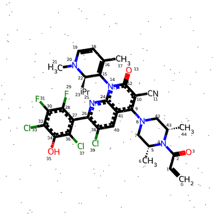 C=CC(=O)N1[C@H](C)CN(c2c(C#N)c(=O)n(C3=C(C)C=CN(C)[C@@H]3C(C)C)c3nc(-c4c(F)c(F)c(Cl)c(O)c4Cl)c(Cl)cc23)C[C@@H]1C